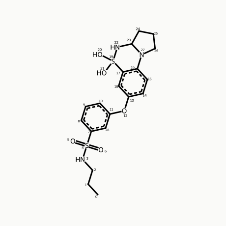 CCCNS(=O)(=O)c1cccc(Oc2ccc3c(c2)S(O)(O)NC2CCCN32)c1